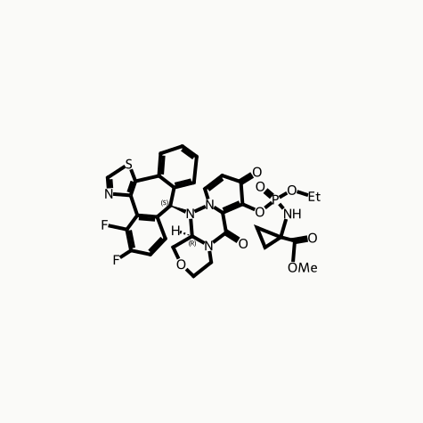 CCOP(=O)(NC1(C(=O)OC)CC1)Oc1c2n(ccc1=O)N([C@@H]1c3ccccc3-c3scnc3-c3c1ccc(F)c3F)[C@@H]1COCCN1C2=O